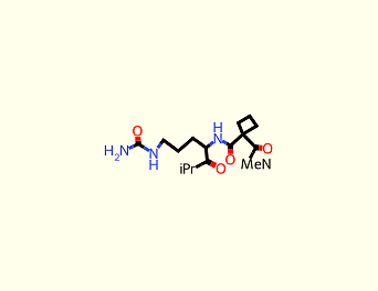 CNC(=O)C1(C(=O)NC(CCCNC(N)=O)C(=O)C(C)C)CCC1